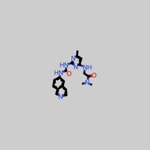 Cc1cc(NCC(=O)N(C)C)nc(NC(=O)Nc2ccc3cnccc3c2)n1